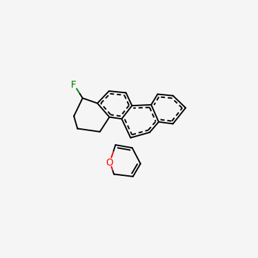 C1=CCOC=C1.FC1CCCc2c1ccc1c2ccc2ccccc21